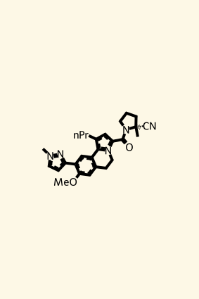 CCCc1cc(C(=O)N2CCC[C@]2(C)C#N)n2c1-c1cc(-c3ccn(C)n3)c(OC)cc1CC2